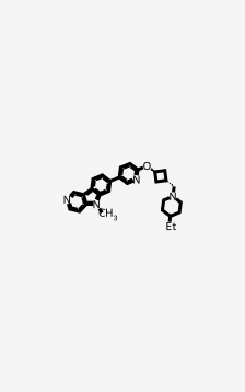 CCC1CCN(C[C@H]2C[C@H](Oc3ccc(-c4ccc5c6cnccc6n(C)c5c4)cn3)C2)CC1